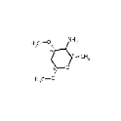 CO[C@@H]1C[C@H](OC)C(N)[C@H](C)O1